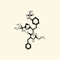 COC(=O)NC(Cc1ccccc1)C(=O)NC(Cc1cccc(NS(=O)(=O)O)c1)c1nc(C(C)(C)C)cs1